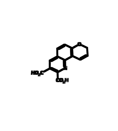 O=C(O)c1cc2ccc3c(c2nc1C(=O)O)C=CCO3